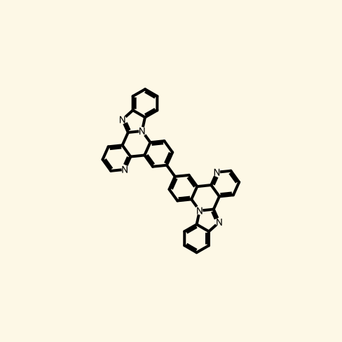 c1ccc2c(c1)nc1c3cccnc3c3cc(-c4ccc5c(c4)c4ncccc4c4nc6ccccc6n54)ccc3n21